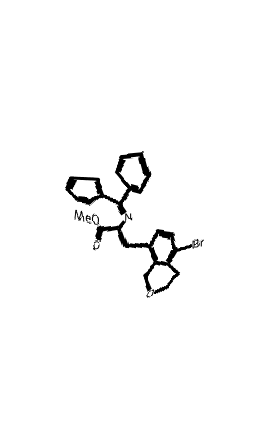 COC(=O)C(Cc1ccc(Br)c2c1COCC2)N=C(c1ccccc1)c1ccccc1